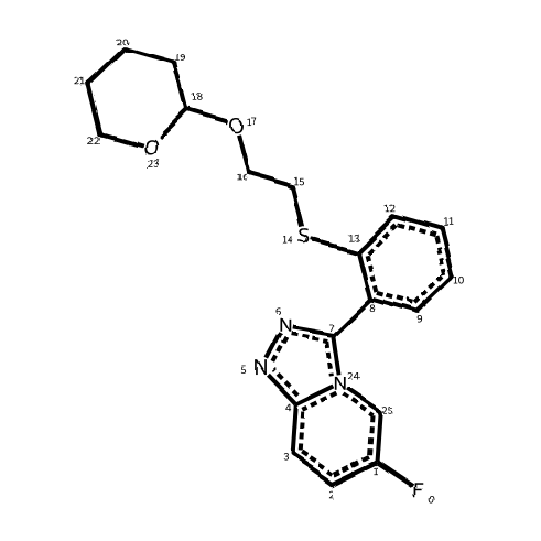 Fc1ccc2nnc(-c3ccccc3SCCOC3CCCCO3)n2c1